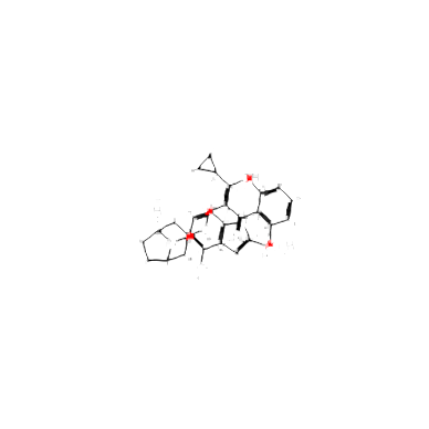 Cc1c(N2C3CC[C@H]2CC(OC/C(C(=N)c2c(F)cccc2F)=C(/O)C2CC2)C3)ccc2oc(C(=O)O)cc12